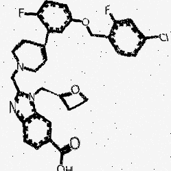 O=C(O)c1ccc2nc(CN3CC=C(c4cc(OCc5ccc(Cl)cc5F)ccc4F)CC3)n(C[C@@H]3CCO3)c2c1